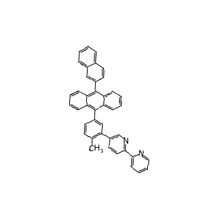 Cc1ccc(-c2c3ccccc3c(-c3ccc4ccccc4c3)c3ccccc23)cc1-c1ccc(-c2ccccn2)nc1